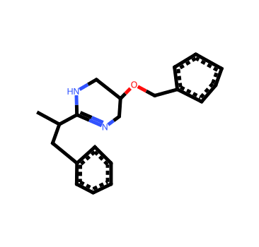 CC(Cc1ccccc1)C1=NCC(OCc2ccccc2)CN1